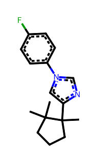 CC1(C)CCCC1(C)c1cn(-c2ccc(F)cc2)cn1